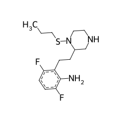 CCCSN1CCNCC1CCc1c(F)ccc(F)c1N